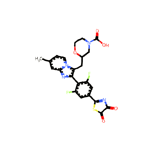 Cc1ccn2c(CC3CN(C(=O)O)CCO3)c(-c3c(F)cc(C4=NC(=O)C(=O)S4)cc3F)nc2c1